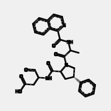 CC(NC(=O)c1nccc2ccccc12)C(=O)N1C[C@H](c2ccccc2)CC1C(=O)NC(C=O)CC(=O)O